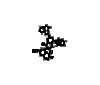 O=c1c2nc(/C=C/C34CCCN3CCC4)cc(N3CC4CCC(C3)N4)c2ccn1-c1cc(O)cc2ccc(F)c(Cl)c12